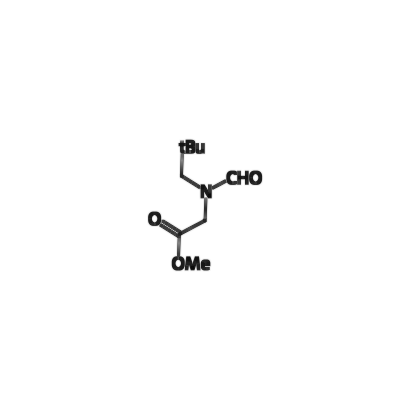 COC(=O)CN(C=O)CC(C)(C)C